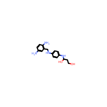 Nc1ccc(N)c(CNc2ccc(NC(O)CCO)cc2)c1